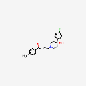 Cc1ccc(C(=O)CCCN2CCC(O)(c3ccc(Cl)cc3)CC2)cc1